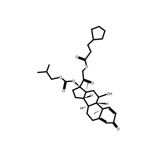 CC(C)COC(=O)O[C@]1(C(=O)COC(=O)CCC2CCCC2)CC[C@H]2[C@@H]3CCC4=CC(=O)C=C[C@]4(C)[C@H]3C(O)C[C@@]21C